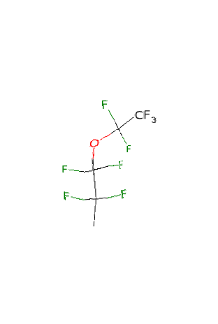 CC(F)(F)C(F)(F)OC(F)(F)C(F)(F)F